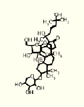 CC(C)(O)/C=C/CC(C)(O)C1C(=O)CC2(COC3OC(CO)C(O)C(O)C3O)C1CCC1C3(C)CCC(OC4OCC(O)C(O)C4O)C(C)(C)C3CCC12C